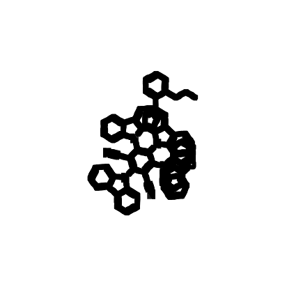 CCCc1ccccc1-c1ccc2c(c1)c1ccc3oc4ccccc4c3c1n2-c1c(-n2c3ccccc3c3ccccc32)c(C#N)c(-n2c3ccccc3c3ccccc32)c(C#N)c1-n1c2ccccc2c2ccccc21